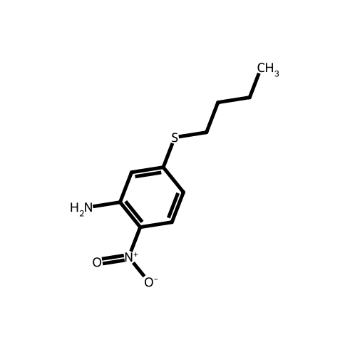 CCCCSc1ccc([N+](=O)[O-])c(N)c1